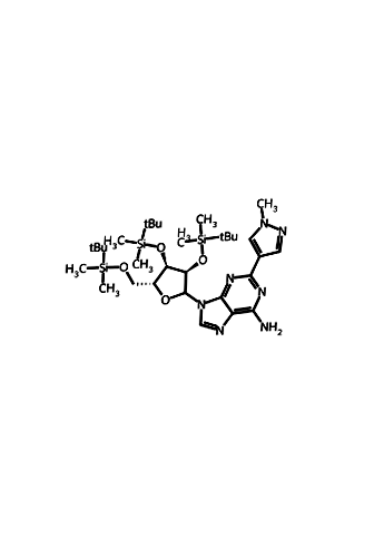 Cn1cc(-c2nc(N)c3ncn(C4O[C@H](CO[Si](C)(C)C(C)(C)C)[C@@H](O[Si](C)(C)C(C)(C)C)[C@H]4O[Si](C)(C)C(C)(C)C)c3n2)cn1